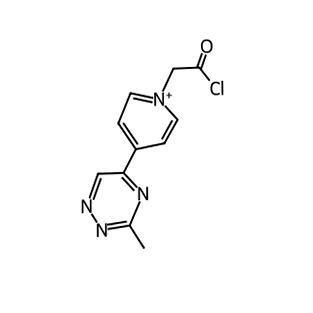 Cc1nncc(-c2cc[n+](CC(=O)Cl)cc2)n1